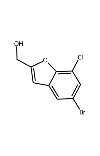 OCc1cc2cc(Br)cc(Cl)c2o1